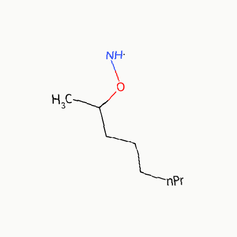 CCCCCCC(C)O[NH]